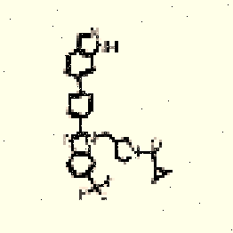 O=C(C1CC1)N1CCC(Cn2c(-c3ccc(-c4ccc5cn[nH]c5c4)cc3)nc3ccc(C(F)(F)F)cc32)C1